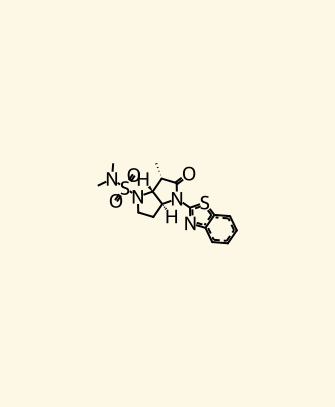 C[C@@H]1C(=O)N(c2nc3ccccc3s2)[C@H]2CCN(S(=O)(=O)N(C)C)[C@H]12